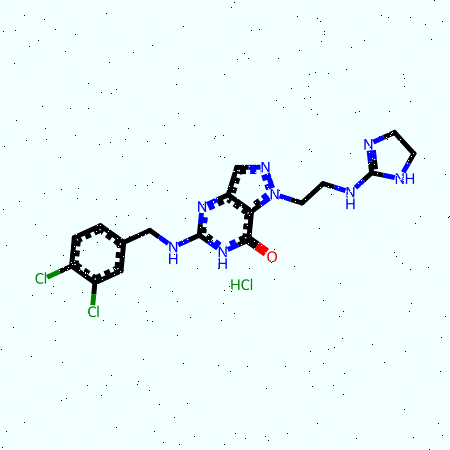 Cl.O=c1[nH]c(NCc2ccc(Cl)c(Cl)c2)nc2cnn(CCNC3=NCCN3)c12